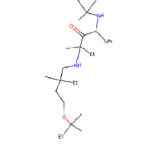 CCCC(NC(C)(C)C(C)=O)C(=O)C(C)(CC)NCC(C)(CC)CCOC(C)(C)CC